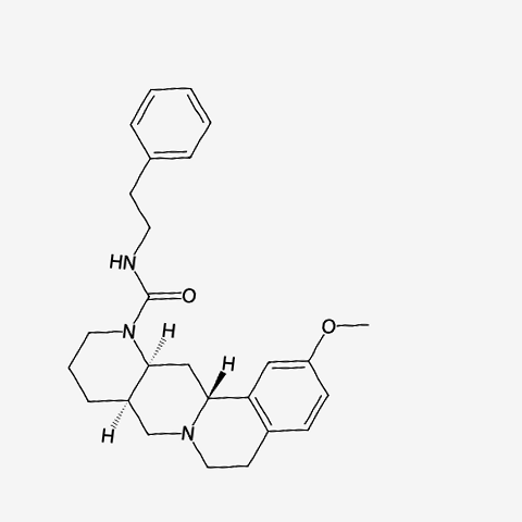 COc1ccc2c(c1)[C@H]1C[C@H]3[C@H](CCCN3C(=O)NCCc3ccccc3)CN1CC2